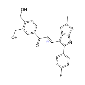 Cc1cn2c(/C=C/C(=O)c3ccc(CO)c(CO)c3)c(-c3ccc(F)cc3)nc2s1